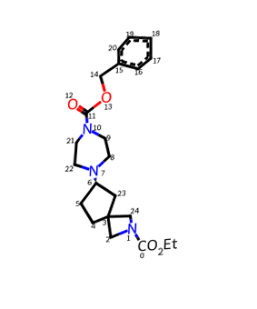 CCOC(=O)N1CC2(CC[C@H](N3CCN(C(=O)OCc4ccccc4)CC3)C2)C1